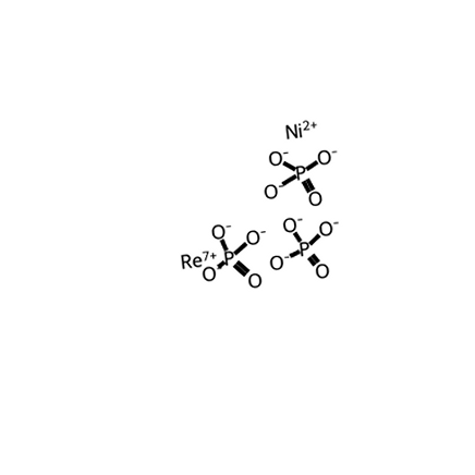 O=P([O-])([O-])[O-].O=P([O-])([O-])[O-].O=P([O-])([O-])[O-].[Ni+2].[Re+7]